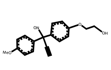 C#CC(N=O)(c1ccc(OC)cc1)c1ccc(OCCO)cc1